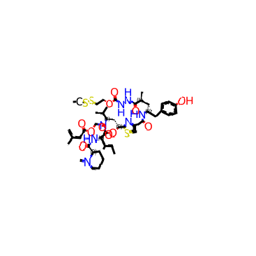 CCSSCCOC(=O)NNC(=O)[C@@H](C)C[C@H](Cc1ccc(O)cc1)NC(=O)c1csc([C@@H](C[C@H](C(C)C)N(COC(=O)CC(C)C)C(=O)[C@@H](NC(=O)[C@H]2CCCCN2C)C(C)CC)OC(C)=O)n1